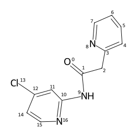 O=C(Cc1ccccn1)Nc1cc(Cl)ccn1